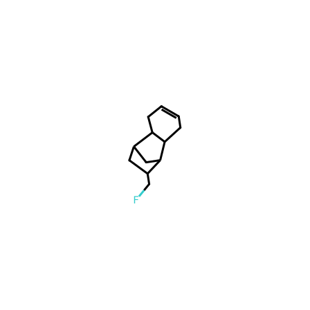 FCC1CC2CC1C1CC=CCC21